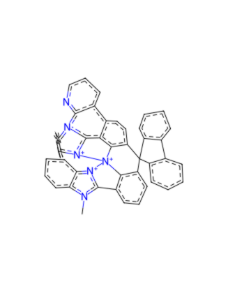 Cn1c2[n+](c3ccccc31)[N+]13c4c-2cccc4C2(c4ccccc4-c4ccccc42)c2ccc4c5cccnc5n5c6ccccc6[n+]1c5c4c23